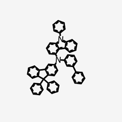 c1ccc(-c2cccc(N(c3ccc4c(c3)-c3ccccc3C4(c3ccccc3)c3ccccc3)c3cccc4c3c3ccccc3n4-c3ccccc3)c2)cc1